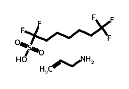 C=CCN.O=S(=O)(O)C(F)(F)CCCCCC(F)(F)F